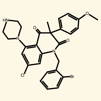 COc1ccc(C2(C)C(=O)c3c(N4CCNCC4)cc(Cl)cc3N(Cc3ccccc3Br)C2=O)cc1